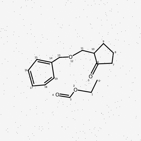 CCOC=O.O=C1CCCC1COCc1ccccc1